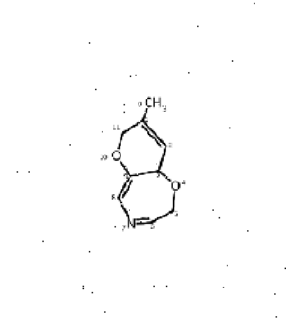 CC1=CC2OCC=NC=C2OC1